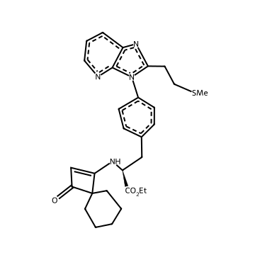 CCOC(=O)[C@H](Cc1ccc(-n2c(CCSC)nc3cccnc32)cc1)NC1=CC(=O)C12CCCCC2